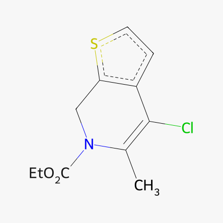 CCOC(=O)N1Cc2sccc2C(Cl)=C1C